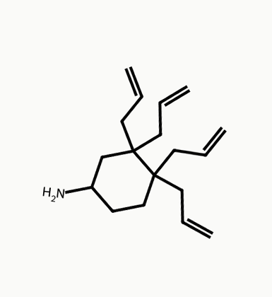 C=CCC1(CC=C)CCC(N)CC1(CC=C)CC=C